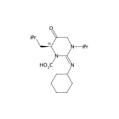 CC(C)C[C@H]1C(=O)CN(C(C)C)C(=NC2CCCCC2)N1C(=O)O